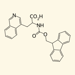 O=C(NC(Cc1cncc2ccccc12)C(=O)O)OCC1c2ccccc2-c2ccccc21